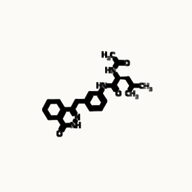 CC(=O)N[C@@H](CC(C)C)C(=O)Nc1cccc(Cc2n[nH]c(=O)c3c2CCCC3)c1